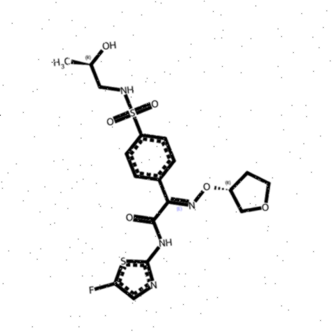 C[C@@H](O)CNS(=O)(=O)c1ccc(/C(=N\O[C@@H]2CCOC2)C(=O)Nc2ncc(F)s2)cc1